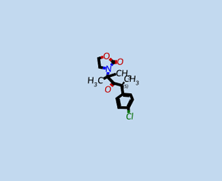 C[C@H](C(=O)C(C)(C)N1CCOC1=O)c1ccc(Cl)cc1